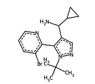 CC(C)(C)n1ncc(C(N)C2CC2)c1-c1ncccc1Br